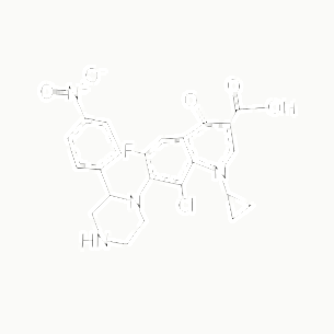 O=C(O)c1cn(C2CC2)c2c(Cl)c(N3CCNCC3c3ccc([N+](=O)[O-])cc3)c(F)cc2c1=O